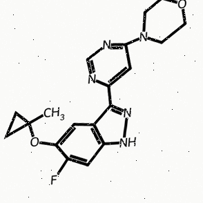 CC1(Oc2cc3c(-c4cc(N5CCOCC5)ncn4)n[nH]c3cc2F)CC1